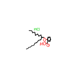 CCCCCCCCCCC(CCCCCCCC)COc1ccccc1C(=O)O.Cl